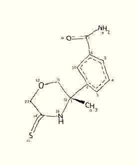 C[C@]1(c2cccc(C(N)=O)c2)COCC(=S)N1